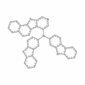 c1ccc2c(c1)ccc1c2sc2cncc(N(c3ccc4c(c3)oc3ccccc34)c3ccc4sc5ccccc5c4c3)c21